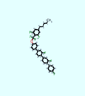 CCCCCc1cc(F)c(C(F)(F)Oc2ccc(-c3ccc(-c4ccc(-c5ccc(F)cc5)c(F)c4)c(F)c3)cc2)c(F)c1